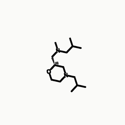 CC(C)CN(C)C[C@@H]1CN(CC(C)C)CCO1